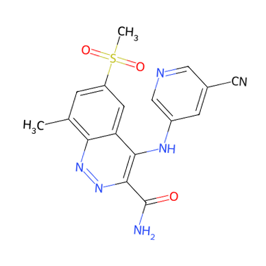 Cc1cc(S(C)(=O)=O)cc2c(Nc3cncc(C#N)c3)c(C(N)=O)nnc12